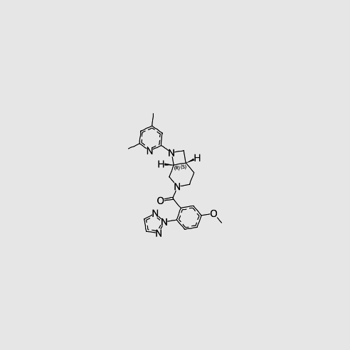 COc1ccc(-n2nccn2)c(C(=O)N2CC[C@H]3CN(c4cc(C)cc(C)n4)[C@H]3C2)c1